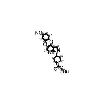 CC(C)(C)OC(=O)N1CCC(n2ncc3c(Oc4ccc(C#N)cc4Cl)ncnc32)CC1